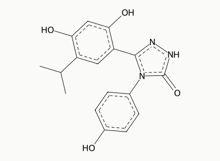 CC(C)c1cc(-c2n[nH]c(=O)n2-c2ccc(O)cc2)c(O)cc1O